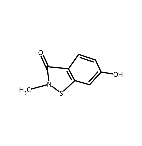 Cn1sc2cc(O)ccc2c1=O